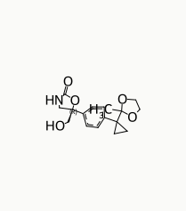 CC1(C2(c3ccc([C@]4(CO)CNC(=O)O4)cc3)CC2)OCCO1